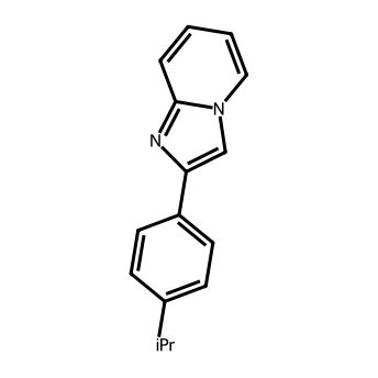 CC(C)c1ccc(-c2cn3ccccc3n2)cc1